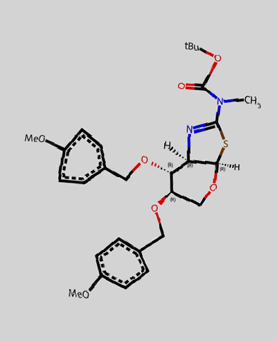 COc1ccc(CO[C@@H]2[C@H]3N=C(N(C)C(=O)OC(C)(C)C)S[C@H]3OC[C@H]2OCc2ccc(OC)cc2)cc1